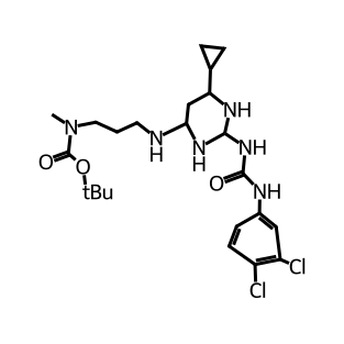 CN(CCCNC1CC(C2CC2)NC(NC(=O)Nc2ccc(Cl)c(Cl)c2)N1)C(=O)OC(C)(C)C